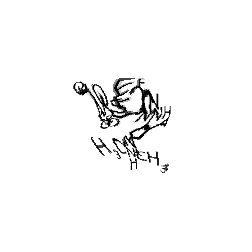 C[C@@H]1CN(c2ccc(Nc3ncc(C(F)(F)F)c(-c4cc5c(s4)C(=O)N(C4COC4)CCS5(=O)=O)n3)c(C3CC3)c2)C[C@H](C)N1